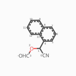 N#CC(O[C]=O)c1cccc2ccccc12